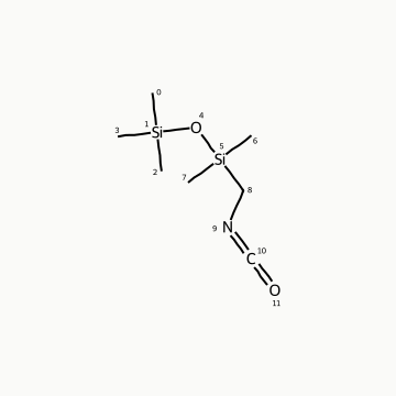 C[Si](C)(C)O[Si](C)(C)CN=C=O